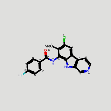 COc1c(Cl)cc2c([nH]c3cnccc32)c1NC(=O)c1ccc(F)cc1